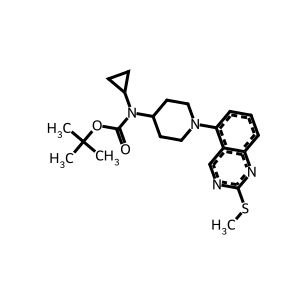 CSc1ncc2c(N3CCC(N(C(=O)OC(C)(C)C)C4CC4)CC3)cccc2n1